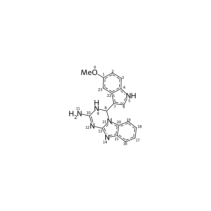 COc1ccc2[nH]cc(C3NC(N)=Nc4nc5ccccc5n43)c2c1